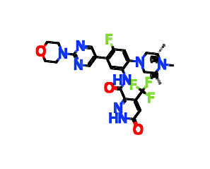 C[C@@H]1CN(c2cc(F)c(-c3cnc(N4CCOCC4)nc3)cc2NC(=O)c2n[nH]c(=O)cc2C(F)(F)F)C[C@H](C)N1C